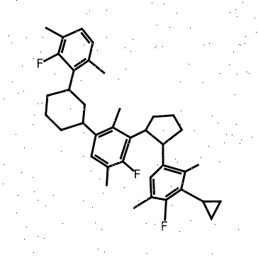 Cc1ccc(C)c(C2CCCC(c3cc(C)c(F)c(C4CCCC4c4cc(C)c(F)c(C5CC5)c4C)c3C)C2)c1F